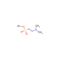 CC(C)OS(=O)(=O)CCN(C)C